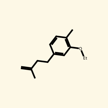 C=C(C)CCc1ccc(C)c(OCC)c1